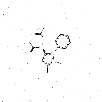 CC(=O)O[N+](C(C)=O)=c1cc(C)n(C)n1-c1ccccc1